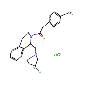 Cl.O=C(Cc1ccc(C(F)(F)F)cc1)N1CCc2ccccc2C1CN1CC[C@H](F)C1